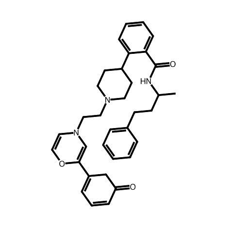 CC(CCc1ccccc1)NC(=O)c1ccccc1C1CCN(CCN2C=COC(C3=CC=CC(=O)C3)=C2)CC1